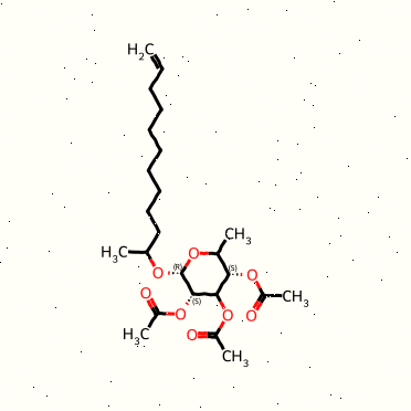 C=CCCCCCCCCC(C)O[C@@H]1OC(C)[C@H](OC(C)=O)C(OC(C)=O)[C@@H]1OC(C)=O